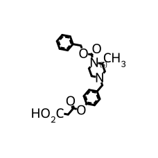 C[C@H]1CN(Cc2ccc(OC(=O)CC(=O)O)cc2)CCN1C(=O)OCc1ccccc1